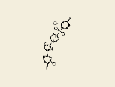 O=S(=O)(c1ccc(F)cc1Cl)N1CCN(c2nc(-c3ccc(F)c(Cl)c3)cs2)CC1